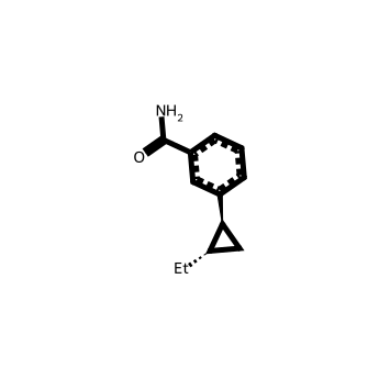 CC[C@H]1C[C@@H]1c1cccc(C(N)=O)c1